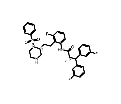 C[C@H](C(=O)Nc1cccc(F)c1CC[C@H]1CNCCN1S(=O)(=O)c1ccccc1)C(c1cccc(F)c1)c1cccc(F)c1